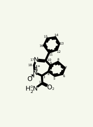 NC(=O)C1c2ccccc2C(c2ccccc2)=NC[NH+]1[O-]